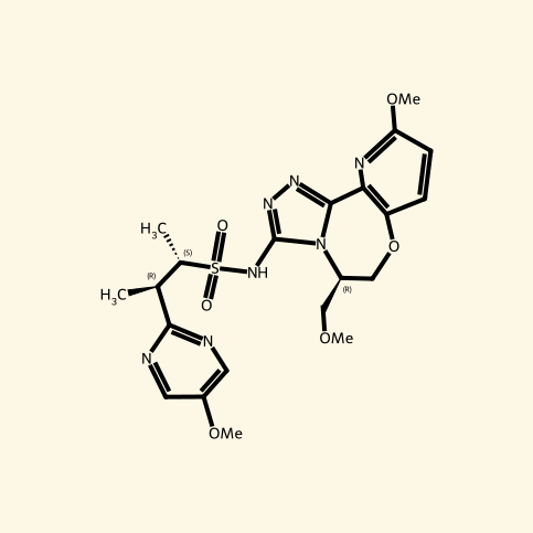 COC[C@@H]1COc2ccc(OC)nc2-c2nnc(NS(=O)(=O)[C@@H](C)[C@H](C)c3ncc(OC)cn3)n21